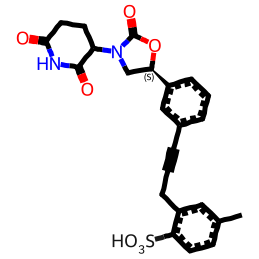 Cc1ccc(S(=O)(=O)O)c(CC#Cc2cccc([C@H]3CN(C4CCC(=O)NC4=O)C(=O)O3)c2)c1